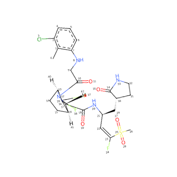 Cc1c(Cl)cccc1NCC(=O)N1[C@@H]2CC[C@H]([C@H]1C(=O)N[C@H](/C=C(/F)S(C)(=O)=O)C[C@H]1CCNC1=O)C(F)(F)C2